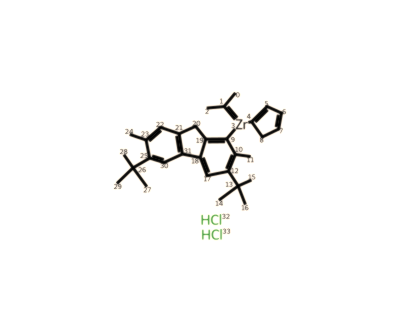 C[C](C)=[Zr]([C]1=CC=CC1)[c]1c(C)c(C(C)(C)C)cc2c1Cc1cc(C)c(C(C)(C)C)cc1-2.Cl.Cl